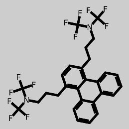 FC(F)(F)N(CCCc1ccc(CCCN(C(F)(F)F)C(F)(F)F)c2c3ccccc3c3ccccc3c12)C(F)(F)F